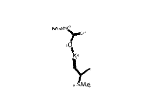 CNC(=O)O/N=C/C(C)SC